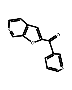 O=C(c1cccnc1)c1cc2ccncc2o1